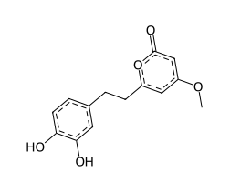 COc1cc(CCc2ccc(O)c(O)c2)oc(=O)c1